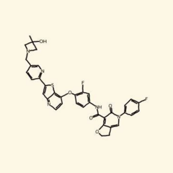 CC1(O)CN(Cc2ccc(-c3cc4nccc(Oc5ccc(NC(=O)c6c7c(cn(-c8ccc(F)cc8)c6=O)CCO7)cc5F)c4s3)nc2)C1